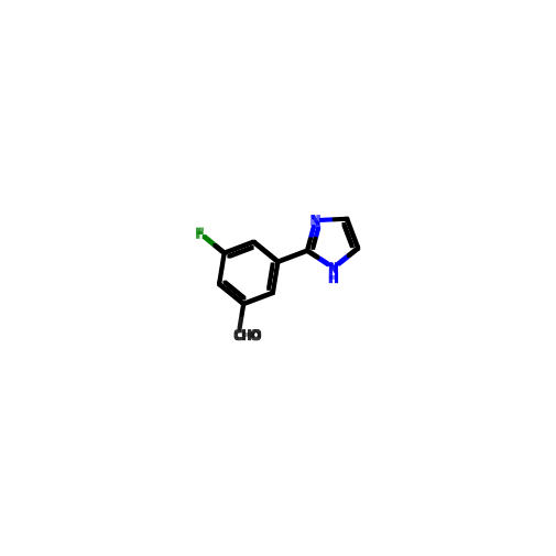 O=Cc1cc(F)cc(-c2ncc[nH]2)c1